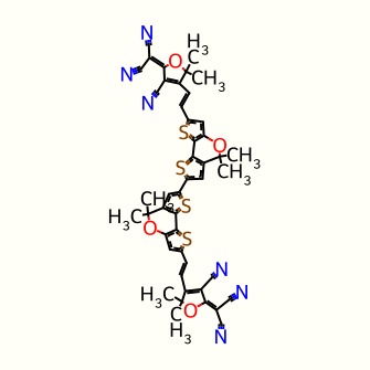 CC1(C)OC(=C(C#N)C#N)C(C#N)=C1/C=C/c1cc2c(s1)-c1sc(-c3cc4c(s3)-c3sc(/C=C/C5=C(C#N)C(=C(C#N)C#N)OC5(C)C)cc3OC4(C)C)cc1C(C)(C)O2